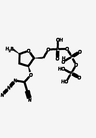 B[C@H]1C[C@@H](OC(C#N)N=[N+]=[N-])[C@@H](COP(=O)(O)OP(=O)(O)OP(=O)(O)O)O1